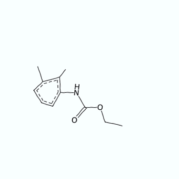 CCOC(=O)Nc1cccc(C)c1C